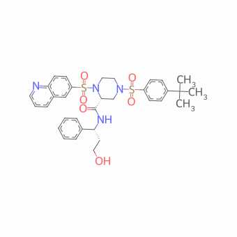 CC(C)(C)c1ccc(S(=O)(=O)N2CCN(S(=O)(=O)c3ccc4ncccc4c3)[C@@H](C(=O)N[C@H](CCO)c3ccccc3)C2)cc1